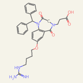 N=C(N)NCCCCOc1ccc2c(c1)C(=O)N(CCC(=O)O)CC(=O)N2C(c1ccccc1)c1ccccc1